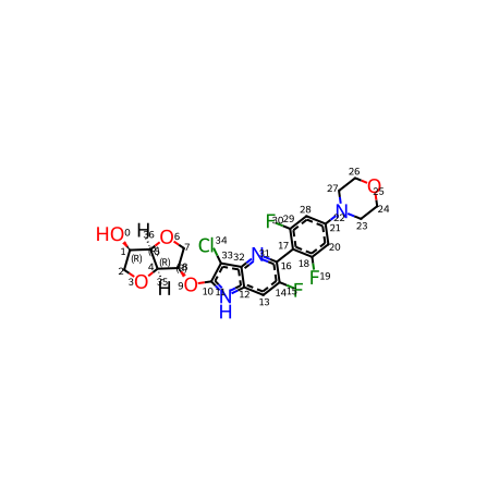 O[C@@H]1CO[C@H]2[C@@H]1OC[C@H]2Oc1[nH]c2cc(F)c(-c3c(F)cc(N4CCOCC4)cc3F)nc2c1Cl